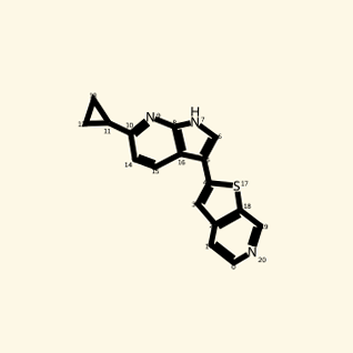 c1cc2cc(-c3c[nH]c4nc(C5CC5)ccc34)sc2cn1